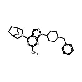 Cc1nc(N2CC3CCC(C2)O3)c2cnn(C3CCN(Cc4ccccc4)CC3)c2n1